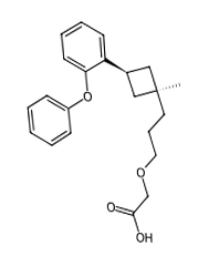 C[C@]1(CCCOCC(=O)O)C[C@@H](c2ccccc2Oc2ccccc2)C1